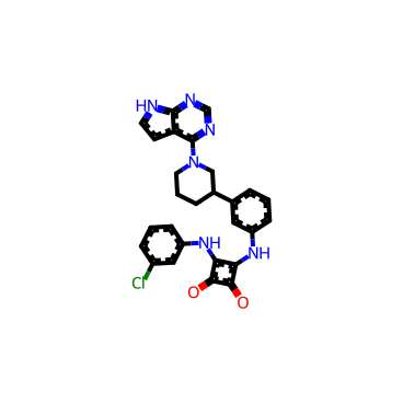 O=c1c(Nc2cccc(Cl)c2)c(Nc2cccc(C3CCCN(c4ncnc5[nH]ccc45)C3)c2)c1=O